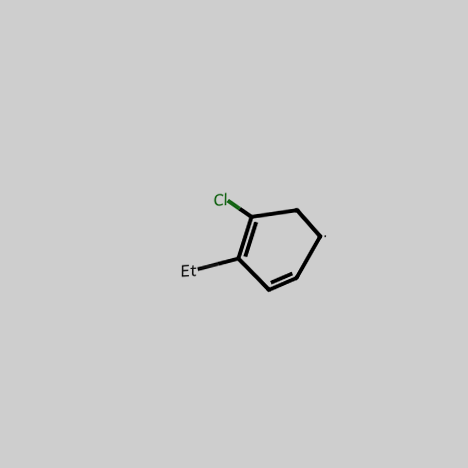 CCC1=C(Cl)C[CH]C=C1